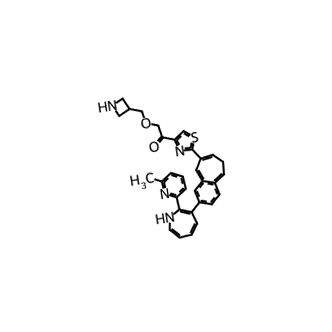 Cc1cccc(C2=C(c3ccc4c(c3)=CC(c3nc(C(=O)COCC5CNC5)cs3)=CCC=4)C=CC=CN2)n1